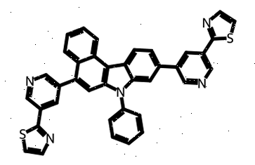 c1ccc(-n2c3cc(-c4cncc(-c5nccs5)c4)ccc3c3c4ccccc4c(-c4cncc(-c5nccs5)c4)cc32)cc1